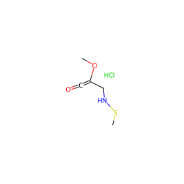 COC(=C=O)CNSC.Cl